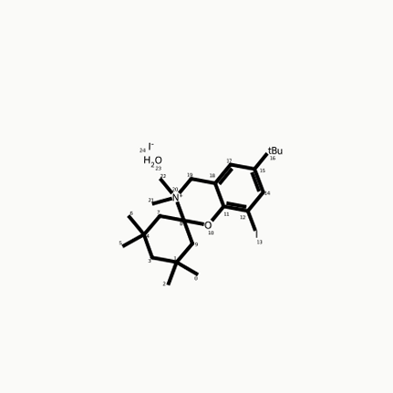 CC1(C)CC(C)(C)CC2(C1)Oc1c(I)cc(C(C)(C)C)cc1C[N+]2(C)C.O.[I-]